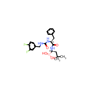 CC(C)C[C@H](NC(=O)[C@H](Cc1ccccc1)NC(=O)NCc1ccc(F)c(F)c1)B(O)O